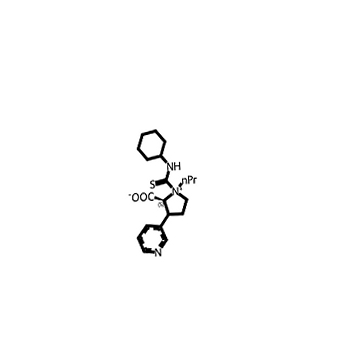 CCC[N+]1(C(=S)NC2CCCCC2)CCC(c2cccnc2)[C@H]1C(=O)[O-]